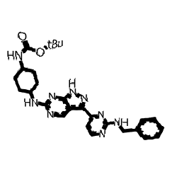 CC(C)(C)OC(=O)NC1CCC(Nc2ncc3c(-c4ccnc(NCc5ccccc5)n4)n[nH]c3n2)CC1